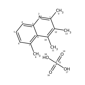 Cc1nc2cccc(C)c2c(C)c1C.O=S(=O)(O)O